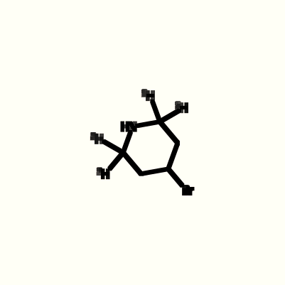 [2H]C1([2H])CC(Br)CC([2H])([2H])N1